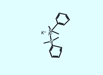 C[Si](C)([N-][Si](C)(C)c1ccccc1)c1ccccc1.[K+]